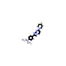 CN(C)c1ccc(-c2cn3ccc(N4CCC(F)CC4)nc3n2)cc1